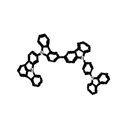 c1ccc2c(c1)c1ccccc1n2-c1ccc(-n2c3ccccc3c3cc(-c4ccc5c(c4)c4ccccc4n5-c4ccc5c6cccc7c8ccccc8n(c5c4)c76)ccc32)cc1